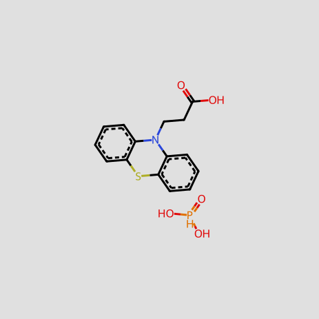 O=C(O)CCN1c2ccccc2Sc2ccccc21.O=[PH](O)O